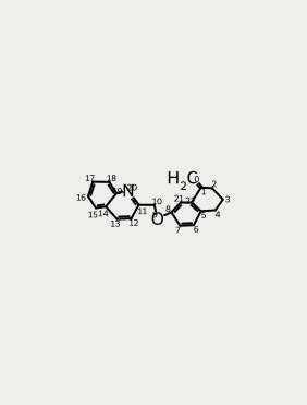 C=C1CCCc2ccc(OCc3ccc4ccccc4n3)cc21